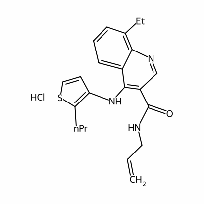 C=CCNC(=O)c1cnc2c(CC)cccc2c1Nc1ccsc1CCC.Cl